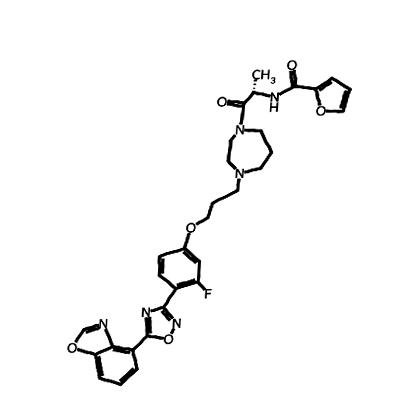 C[C@H](NC(=O)c1ccco1)C(=O)N1CCCN(CCCOc2ccc(-c3noc(-c4cccc5ocnc45)n3)c(F)c2)CC1